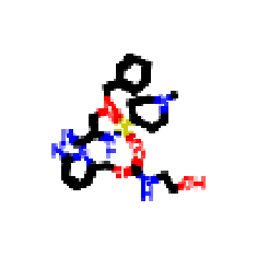 CN1CCC(S(=O)(=O)NC(COCc2ccccc2)c2nnc3cccc(COC(=O)NCCO)n23)CC1